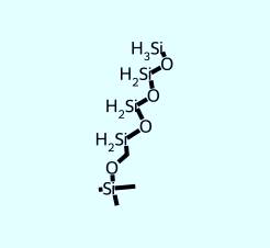 C[Si](C)(C)OC[SiH2]O[SiH2]O[SiH2]O[SiH3]